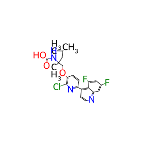 CC(C)CC(C)(COc1ccc(-c2ccnc3cc(F)cc(F)c23)nc1Cl)NC(=O)O